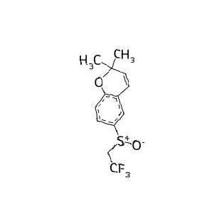 CC1(C)C=Cc2cc([S+]([O-])CC(F)(F)F)ccc2O1